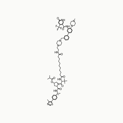 Cc1ncsc1-c1ccc([C@H](C)NC(=O)C2CC(OC(=O)C(C)C)CN2C(=O)C(NC(=O)CCCCCCCCCC(=O)NCCN2CCN(Cc3cccc(-c4ccc(N5CCN(C)CC5)c(NC(=O)c5c[nH]c(=O)cc5C(F)(F)F)c4)c3)CC2)C(C)(C)C)cc1